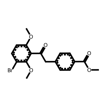 COC(=O)c1ccc(CC(=O)c2c(OC)ccc(Br)c2OC)cc1